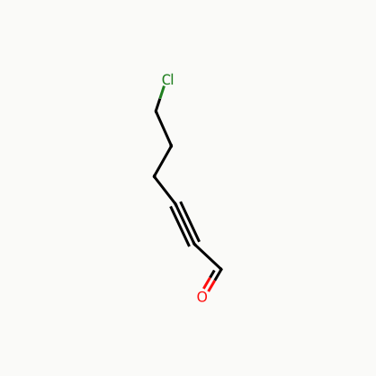 O=CC#CCCCCl